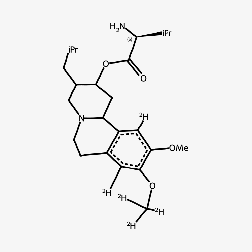 [2H]c1c2c(c([2H])c(OC)c1OC([2H])([2H])[2H])C1CC(OC(=O)[C@@H](N)C(C)C)C(CC(C)C)CN1CC2